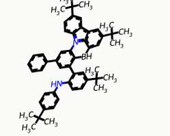 CC(C)(C)c1ccc(Nc2ccc(C(C)(C)C)cc2-c2cc(-c3ccccc3)cc3c2Bc2cc(C(C)(C)C)cc4c5cc(C(C)(C)C)ccc5n-3c24)cc1